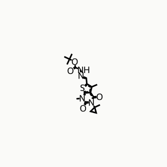 Cc1c(/C=N/NC(=O)OC(C)(C)C)sc2c1c(=O)n(C1(C)CC1)c(=O)n2C